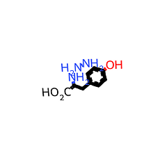 NC(Cc1ccc(O)cc1)C(=O)O.NN